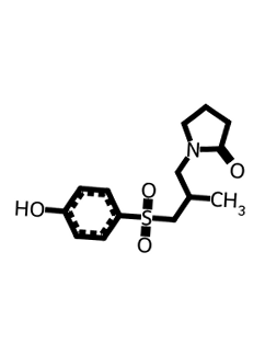 CC(CN1CCCC1=O)CS(=O)(=O)c1ccc(O)cc1